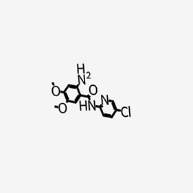 COc1cc(N)c(C(=O)Nc2ccc(Cl)cn2)cc1OC